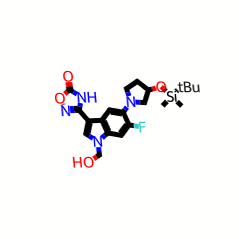 CC(C)(C)[Si](C)(C)OC1CCN(c2cc3c(-c4noc(=O)[nH]4)cn(CO)c3cc2F)C1